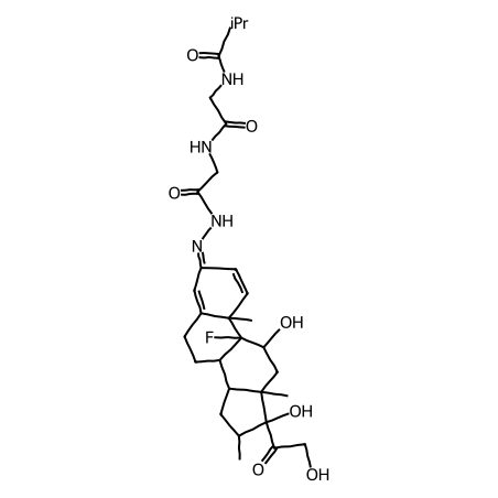 CC(C)C(=O)NCC(=O)NCC(=O)NN=C1C=CC2(C)C(=C1)CCC1C3CC(C)C(O)(C(=O)CO)C3(C)CC(O)C12F